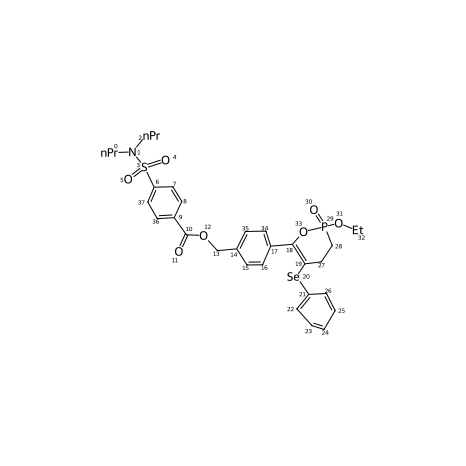 CCCN(CCC)S(=O)(=O)c1ccc(C(=O)OCc2ccc(C3=C([Se]c4ccccc4)CCP(=O)(OCC)O3)cc2)cc1